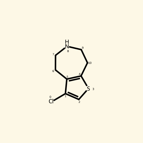 Clc1csc2c1CCNCC2